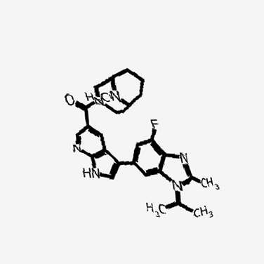 Cc1nc2c(F)cc(-c3c[nH]c4ncc(C(=O)N5CC6CCCC(C5)N6C)cc34)cc2n1C(C)C